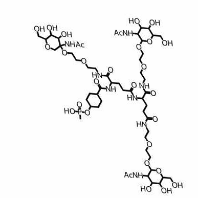 CC(=O)NC1C(OCCOCCNC(=O)CCC(NC(=O)CCC(NC(=O)C2CCC(OP(C)(=O)O)CC2)C(=O)NCCOCCOC2(NC(C)=O)COC(CO)C(O)C2O)C(=O)NCCOCCOC2OC(CO)C(O)C(O)C2NC(C)=O)OC(CO)C(O)C1O